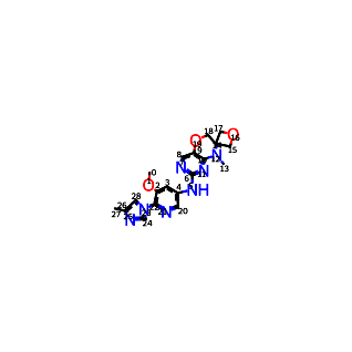 COc1cc(Nc2ncc3c(n2)N(C)C2(COC2)CO3)cnc1-n1cnc(C)c1